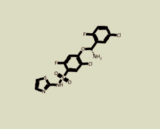 N[C@H](Oc1cc(F)c(S(=O)(=O)Nc2nccs2)cc1Cl)c1cc(Cl)ccc1F